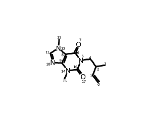 C=CC(C)Cn1c(=O)c2c(ncn2C)n(C)c1=O